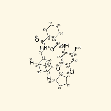 CC1(C)[C@H]2CCC(CNC(=O)C3=C(C(=O)Nc4cc(OC5CCCC5)c(Cl)cc4F)CCCC3)[C@@H]1C2